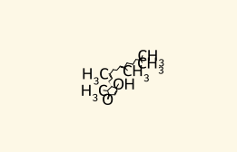 C/C(=C\C[C@@H]1C(O)C=CC(=O)C1C)CC/C=C(\C)CCCC(C)C